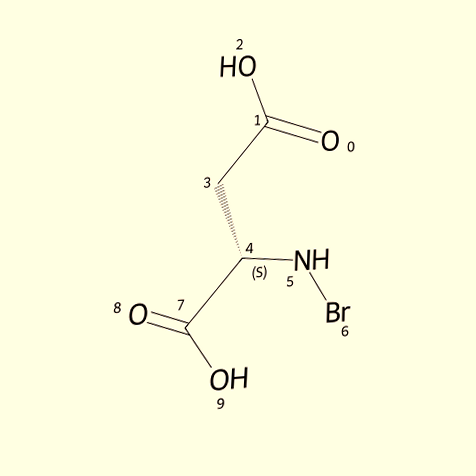 O=C(O)C[C@H](NBr)C(=O)O